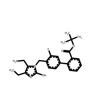 CCc1nc(O)n(Cc2ccc(-c3ccccc3C(=O)OC(C)(C)C)cc2F)c1CN